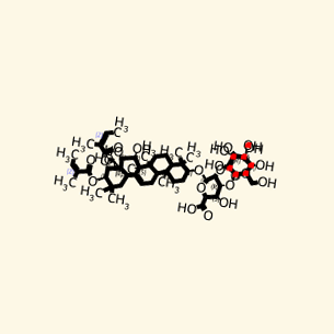 C/C=C(/C)C(=O)O[C@H]1[C@H](OC(=O)/C(C)=C\C)[C@@]2(CO)C(CC1(C)C)C1=CCC3[C@@]4(C)CC[C@H](O[C@@H]5OC(C(=O)O)[C@@H](O)[C@@H](O[C@@H]6OC[C@@H](O)[C@@H](O)C6O)C5O[C@@H]5OC(CO)[C@H](O)[C@@H](O)C5O)C(C)(C)C4CC[C@@]3(C)[C@]1(C)[C@@H](O)[C@H]2O